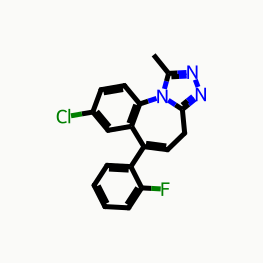 Cc1nnc2n1-c1ccc(Cl)cc1C(c1ccccc1F)=CC2